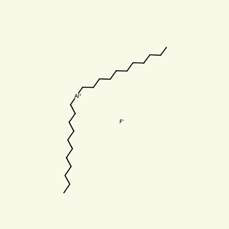 CCCCCCCCCC[CH2][Al+][CH2]CCCCCCCCCC.[F-]